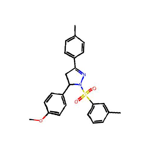 COc1ccc(C2CC(c3ccc(C)cc3)=NN2S(=O)(=O)c2cccc(C)c2)cc1